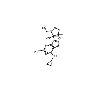 C[C@]1(O)CO[C@H](CO)[C@@]1(O)n1ccc2c(NC3CC3)nc(N)nc21